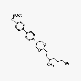 CCCCCCCCOc1ccc(-c2ccc([C@H]3CO[C@H](CCC(C)CCCC(C)C)OC3)cc2)cc1